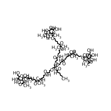 CCCCCC(=O)NC(COCCC(=O)NCCCNC(C)(C)C(=O)CCCCOC(C)(C)[C@@H]1OC(CO)[C@H](O)C(O)C1NC(C)=O)(COCCC(=O)NCCCNC(C)(C)C(=O)CCCCOC(C)(C)[C@@H]1OC(CO)[C@H](O)C(O)C1NC(C)=O)COCCC(=O)NCCCNC(C)(C)C(=O)CCCCOC(C)(C)[C@@H]1OC(CO)[C@H](O)C(O)[C@@H]1NC(C)=O